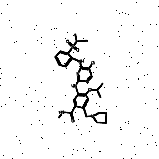 CNC(=O)c1cc(Nc2ncc(Cl)c(Nc3ccccc3S(=O)(=O)C(C)C)n2)c(OC(C)C)cc1CN1CCCC1